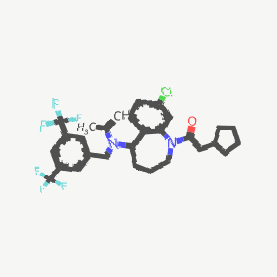 C=C(C)N(Cc1cc(C(F)(F)F)cc(C(F)(F)F)c1)C1CCCN(C(=O)CC2CCCC2)c2cc(Cl)ccc21